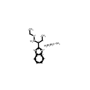 CCO[SiH2]C(CC)c1nc2ccccc2s1.S.S.S.S